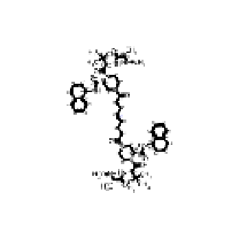 CN[C@@H](C)C(=O)N[C@H](C(=O)N1CCN(C(=O)CC/C=C/CCC(=O)N2CCN(C(=O)[C@@H](NC(=O)[C@H](C)NC)C(C)(C)C)[C@H](C(=O)N[C@@H]3CCCc4ccccc43)C2)C[C@H]1C(=O)N[C@@H]1CCCc2ccccc21)C(C)(C)C